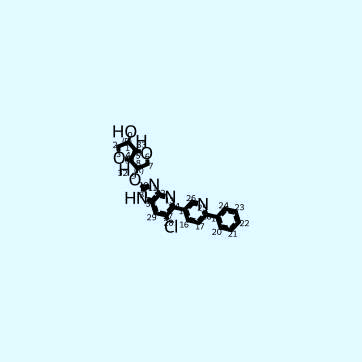 O[C@@H]1CO[C@H]2[C@@H]1OC[C@H]2Oc1nc2nc(-c3ccc(-c4ccccc4)nc3)c(Cl)cc2[nH]1